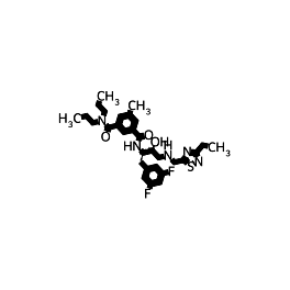 CCCN(CCC)C(=O)c1cc(C)cc(C(=O)N[C@@H](Cc2cc(F)cc(F)c2)[C@H](O)CNCc2nc(CC)ns2)c1